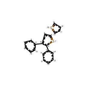 c1ccc(-c2ccsc2-c2ccccc2)cc1.c1ccsc1